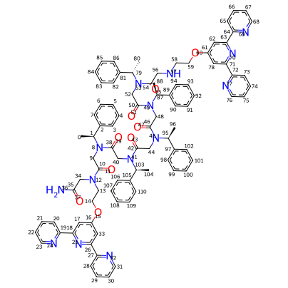 C[C@@H](c1ccccc1)N(CC(=O)N(CCOc1cc(-c2ccccn2)nc(-c2ccccn2)c1)CC(N)=O)C(=O)CN(C(=O)CN(C(=O)CN(C(=O)CN(C(=O)CNCCOc1cc(-c2ccccn2)nc(-c2ccccn2)c1)[C@@H](C)c1ccccc1)[C@@H](C)c1ccccc1)[C@@H](C)c1ccccc1)[C@@H](C)c1ccccc1